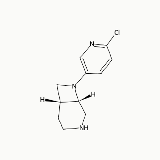 Clc1ccc(N2C[C@H]3CCNC[C@H]32)cn1